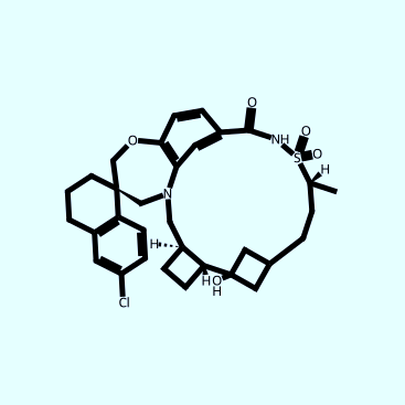 C[C@@H]1CCC2CC(O)(C2)[C@@H]2CC[C@H]2CN2C[C@@]3(CCCc4cc(Cl)ccc43)COc3ccc(cc32)C(=O)NS1(=O)=O